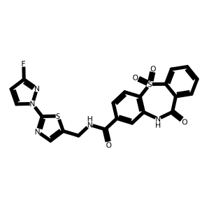 O=C(NCc1cnc(-n2ccc(F)n2)s1)c1ccc2c(c1)NC(=O)c1ccccc1S2(=O)=O